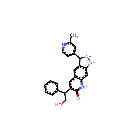 Cc1cc(C2NNc3cc4[nH]c(=O)c(C(CO)c5ccccc5)cc4cc32)ccn1